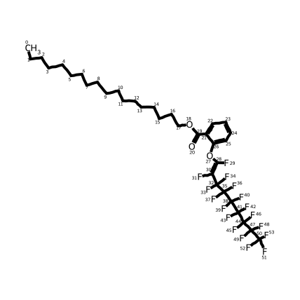 CCCCCCCCCCCCCCCCCCOC(=O)c1ccccc1OC(F)=C(F)C(F)(F)C(F)(F)C(F)(F)C(F)(F)C(F)(F)C(F)(F)C(F)(F)F